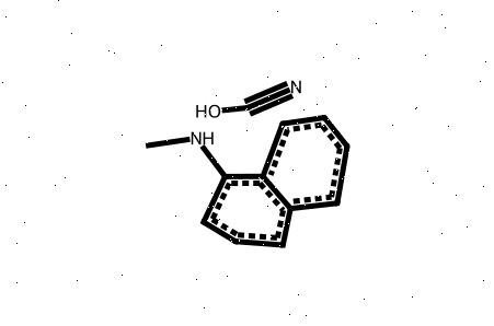 CNc1cccc2ccccc12.N#CO